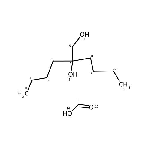 CCCCC(O)(CO)CCCC.O=CO